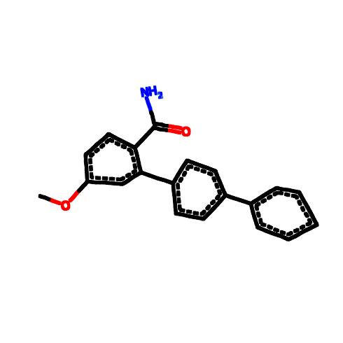 COc1ccc(C(N)=O)c(-c2ccc(-c3ccccc3)cc2)c1